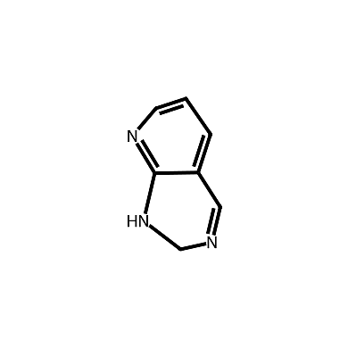 C1=NCNc2ncccc21